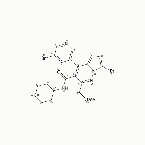 CCc1ccc2c(-c3cncc(Br)c3)c(C(=O)NC3CCNCC3)c(COC)nn12